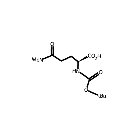 CNC(=O)CC[C@H](NC(=O)OC(C)(C)C)C(=O)O